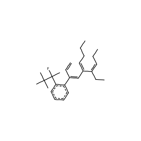 C=C\C(=C/C(=C/CCC)C(=C\CC)/CC)c1ccccc1C(C)(F)C(C)(C)C